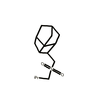 CC(C)CS(=O)(=O)CC1C2CC3CC(C2)CC1C3